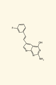 Nc1nc(O)c2cc(C=Cc3cccc(F)c3)cnc2n1